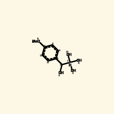 COc1ccc(C(O)[PH](O)(O)O)cc1